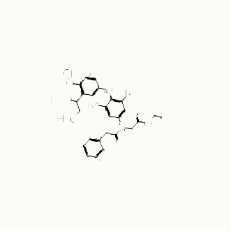 CCOC(=O)CN(C(=O)Cc1ccccc1)c1cc(Br)c(Oc2ccc(OC)c(C(C)CC)c2)c(Br)c1